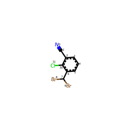 N#Cc1cccc(C(Br)Br)c1Cl